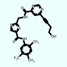 Cc1cc(C)c(C(F)(F)F)cc1NC(=O)c1cnc(CNC(=O)c2cc(C#CCCO)ncn2)s1